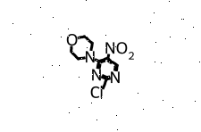 O=[N+]([O-])c1cnc(Cl)nc1N1CCOCC1